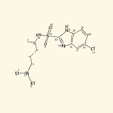 CCN(CC)CCCC(C)NS(=O)(=O)c1nc2cc(Cl)ccc2[nH]1